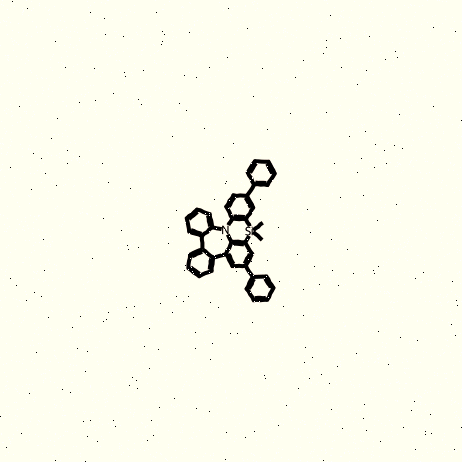 C[Si]1(C)c2cc(-c3ccccc3)ccc2N2c3ccccc3-c3ccccc3-c3cc(-c4ccccc4)cc1c32